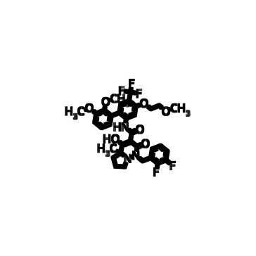 COCCOc1cc(NC(=O)C2=C(O)[C@@]3(C)CCCN3N(Cc3cccc(F)c3F)C2=O)c(-c2cccc(OC)c2OC)cc1C(F)(F)F